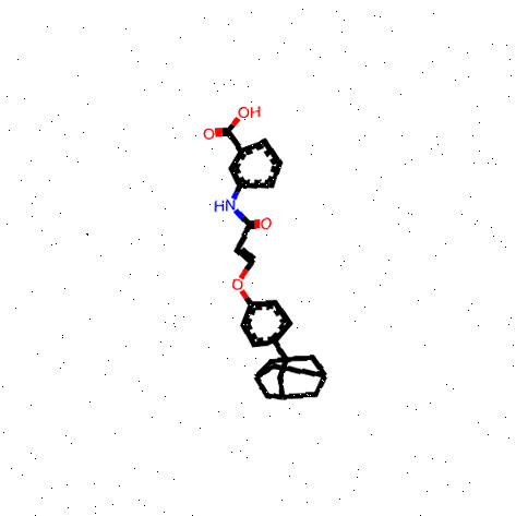 O=C(C=COc1ccc(C23CC4CC(CC(C4)C2)C3)cc1)Nc1cccc(C(=O)O)c1